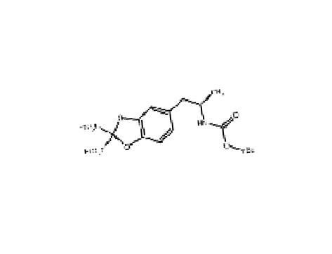 CCCCOC(=O)N[C@H](C)Cc1ccc2c(c1)OC(C(=O)OCC)(C(=O)OCC)O2